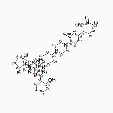 Nc1nnc(-c2ccccc2O)cc1N1C[C@H]2CC[C@@H](C1)N2c1nccc(C2CCC(N3CCN(c4ccc(C5CCC(=O)NC5=O)cc4F)CC3)CC2)n1